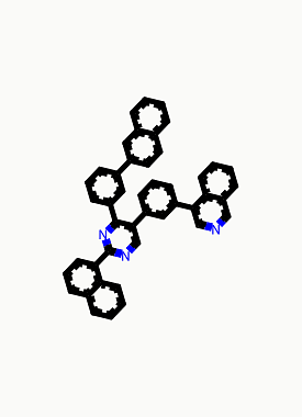 c1cc(-c2ccc3ccccc3c2)cc(-c2nc(-c3cccc4ccccc34)ncc2-c2cccc(-c3cncc4ccccc34)c2)c1